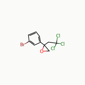 ClC(Cl)(Cl)CC1(c2cccc(Br)c2)CO1